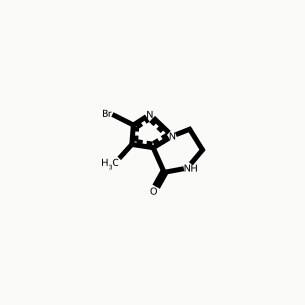 Cc1c(Br)nn2c1C(=O)NCC2